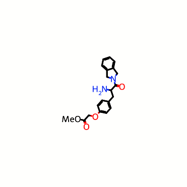 COC(=O)COc1ccc(CC(N)C(=O)N2Cc3ccccc3C2)cc1